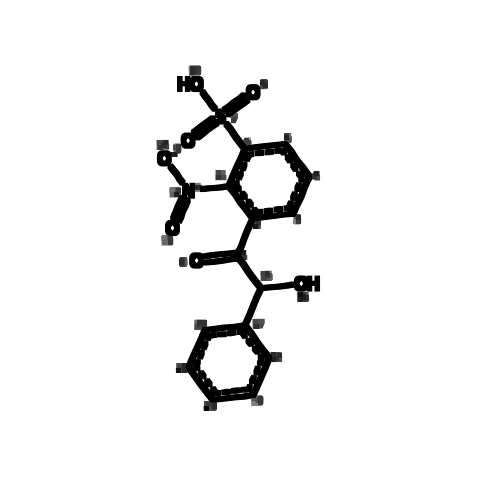 O=C(c1cccc(S(=O)(=O)O)c1[N+](=O)[O-])C(O)c1ccccc1